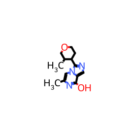 Cc1cn2c(C3CCOCC3C)ncc2c(O)n1